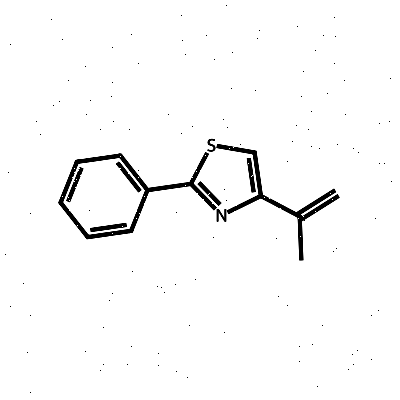 C=C(C)c1csc(-c2ccccc2)n1